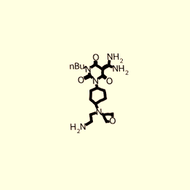 CCCCN1C(=O)C(=C(N)N)C(=O)N(C2CCC(N(CCN)C3COC3)CC2)C1=O